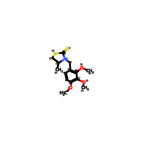 COc1ccc(CN2C(=S)SCC2C)c(OC)c1OC